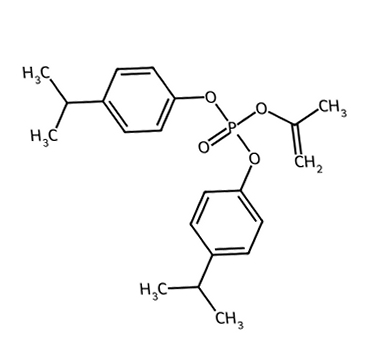 C=C(C)OP(=O)(Oc1ccc(C(C)C)cc1)Oc1ccc(C(C)C)cc1